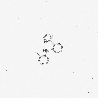 [CH2]c1ccccc1Nc1ccccc1-c1ncco1